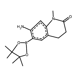 CN1C(=O)CCc2cc(B3OC(C)(C)C(C)(C)O3)c(N)cc21